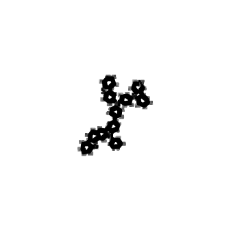 c1ccc(-n2c3ccc(-c4ccc(N(c5ccc(-n6c7ccccc7c7cnccc76)cc5)c5ccc6sc7ccccc7c6c5)cc4)cc3c3cc4ccc5c6ccccc6sc5c4cc32)cc1